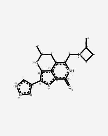 CC1Cc2c(CN3CCC3C)[nH]c(=O)c3sc(-c4cn[nH]c4)c(c23)O1